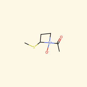 CSC1CC[N+]1([O-])C(C)=O